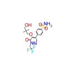 CC(C)(CO)COc1c(-c2ccc(S(N)(=O)=O)cc2)cnn(CC(F)(F)F)c1=O